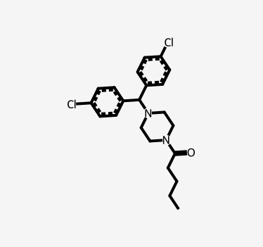 CCCCC(=O)N1CCN(C(c2ccc(Cl)cc2)c2ccc(Cl)cc2)CC1